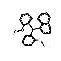 COc1ccccc1[C](c1ccccc1OC)c1cccc2ccccc12